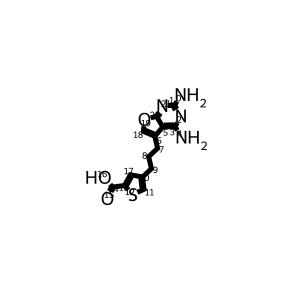 Nc1nc(N)c2c(CCCc3csc(C(=O)O)c3)coc2n1